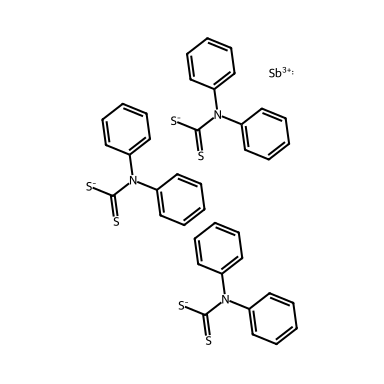 S=C([S-])N(c1ccccc1)c1ccccc1.S=C([S-])N(c1ccccc1)c1ccccc1.S=C([S-])N(c1ccccc1)c1ccccc1.[Sb+3]